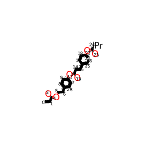 C=CC(=O)OCCc1ccc(OC(=O)/C=C/C(/C=C\C(=C)OC(=O)C(C)C)=C/C)cc1